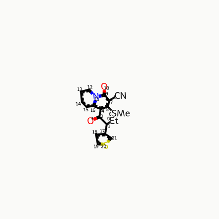 CCC(C(=O)c1c(SC)c(C#N)c(=O)n2ccccc12)c1ccsc1